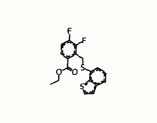 CCOC(=O)c1ccc(F)c(F)c1CSc1cccc2ccsc12